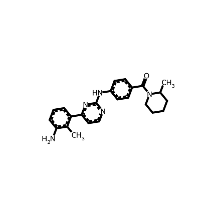 Cc1c(N)cccc1-c1ccnc(Nc2ccc(C(=O)N3CCCCC3C)cc2)n1